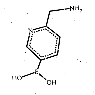 NCc1ccc(B(O)O)cn1